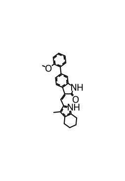 COc1ccccc1-c1ccc2c(c1)NC(=O)/C2=C\c1[nH]c2c(c1C)CCCC2